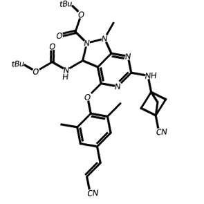 Cc1cc(/C=C/C#N)cc(C)c1Oc1nc(NC23CC(C#N)(C2)C3)nc2c1C(NC(=O)OC(C)(C)C)N(C(=O)OC(C)(C)C)N2C